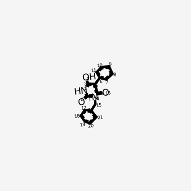 O=c1[nH]c(O)c(-c2ccccc2)c(=O)n1Cc1ccccc1